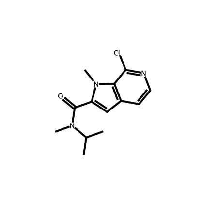 CC(C)N(C)C(=O)c1cc2ccnc(Cl)c2n1C